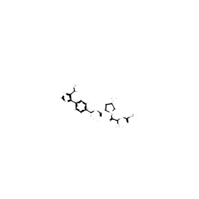 C[C@H](NC(=O)[C@@H]1C[C@@H](O)CN1C(=O)C(OC(N)=O)C(C)(C)C)c1ccc(-c2scnc2CO)cc1